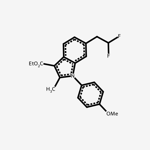 CCOC(=O)c1c(C)n(-c2ccc(OC)cc2)c2cc(CC(F)F)ccc12